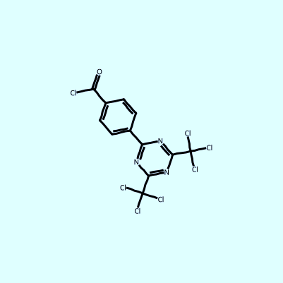 O=C(Cl)c1ccc(-c2nc(C(Cl)(Cl)Cl)nc(C(Cl)(Cl)Cl)n2)cc1